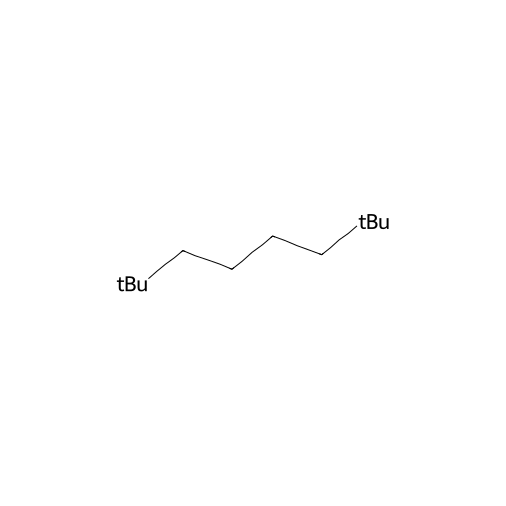 [CH2]C(C)(C)CCCCC(C)(C)C